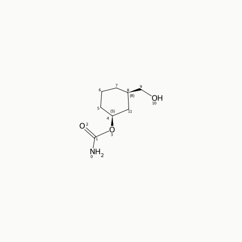 NC(=O)O[C@H]1CCC[C@@H](CO)C1